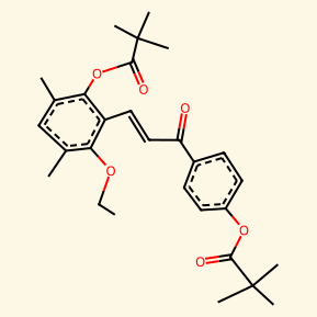 CCOc1c(C)cc(C)c(OC(=O)C(C)(C)C)c1/C=C/C(=O)c1ccc(OC(=O)C(C)(C)C)cc1